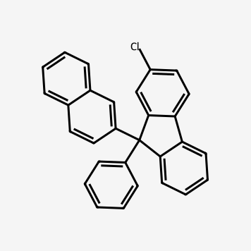 Clc1ccc2c(c1)C(c1ccccc1)(c1ccc3ccccc3c1)c1ccccc1-2